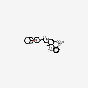 CC1(C(=O)O)C(CC(=O)N2CCN(C3C4CCCC3CNC4)CC2)NC=C(C(=O)O)C1c1c(Cl)cccc1Cl